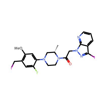 COc1cc(N2CCN(C(=O)Cn3nc(I)c4cccnc43)[C@@H](C)C2)c(F)cc1CI